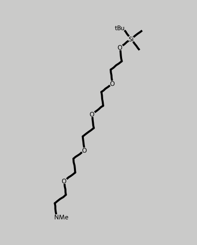 CNCCOCCOCCOCCOCCO[Si](C)(C)C(C)(C)C